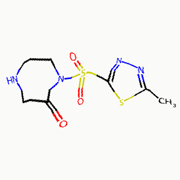 Cc1nnc(S(=O)(=O)N2CCNCC2=O)s1